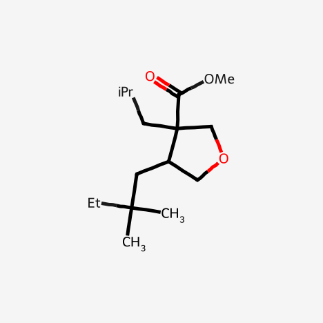 CCC(C)(C)CC1COCC1(CC(C)C)C(=O)OC